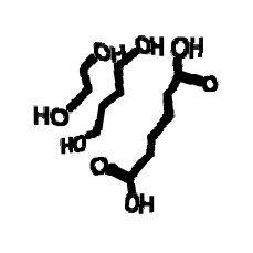 O=C(O)CCCCC(=O)O.OCCCCO.OCCO